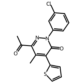 CC(=O)c1nn(-c2cccc(Cl)c2)c(=O)c(-c2cccs2)c1C